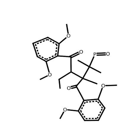 CCC(C(=O)c1c(OC)cccc1OC)C(C)(C(=O)c1c(OC)cccc1OC)C(C)(C)P=O